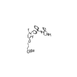 CC[C@@H]1CNCCN1C(=O)OCc1c(F)ccc(OCCCOC)c1F